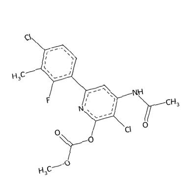 COC(=O)Oc1nc(-c2ccc(Cl)c(C)c2F)cc(NC(C)=O)c1Cl